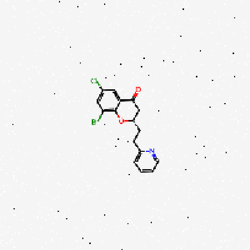 O=C1C[C@@H](CCc2ccccn2)Oc2c(Br)cc(Cl)cc21